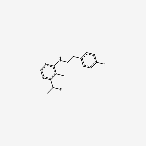 CC(F)c1ncnc(NCCc2ccc(F)cc2)c1I